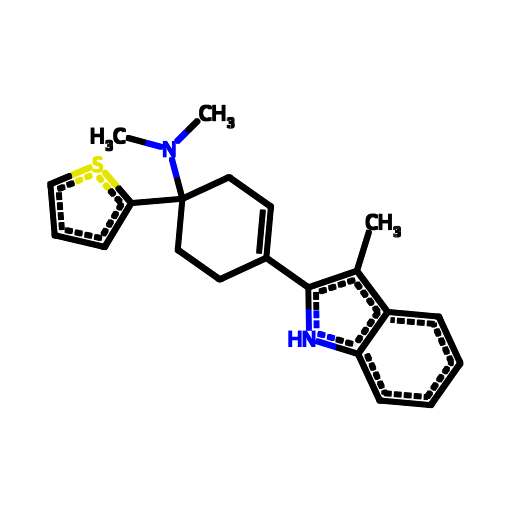 Cc1c(C2=CCC(c3cccs3)(N(C)C)CC2)[nH]c2ccccc12